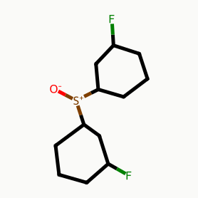 [O-][S+](C1CCCC(F)C1)C1CCCC(F)C1